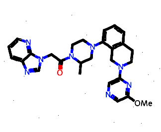 COc1cncc(N2CCc3cccc(N4CCN(C(=O)Cn5cnc6cccnc65)C(C)C4)c3C2)n1